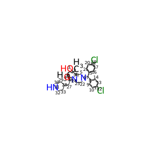 CC(C)(O)[C@H]1CN(C(c2ccc(Cl)cc2)c2ccc(Cl)cc2)CCN1C(=O)CC1CCNCC1